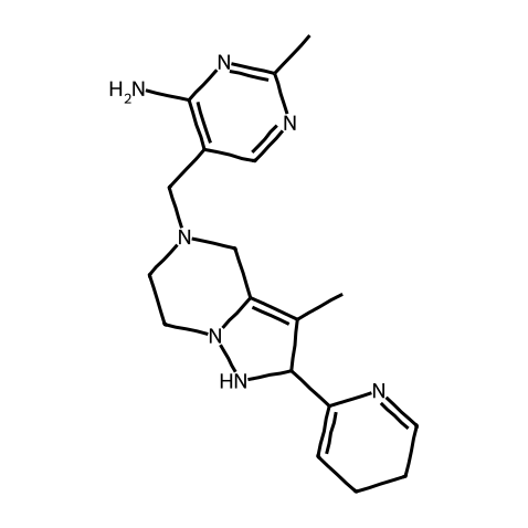 CC1=C2CN(Cc3cnc(C)nc3N)CCN2NC1C1=CCCC=N1